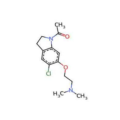 CC(=O)N1CCc2cc(Cl)c(OCCN(C)C)cc21